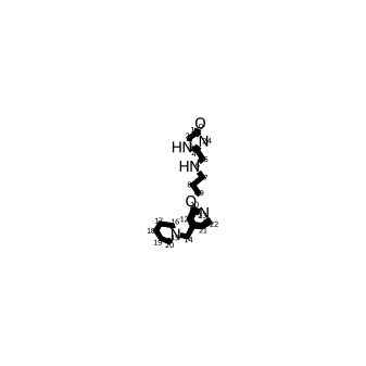 O=C1CNC(CNCCCOc2cc(CN3CCCCC3)ccn2)=N1